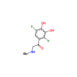 CC(C)(C)NCC(=O)c1cc(F)c(O)c(O)c1F